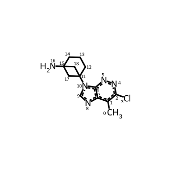 Cc1c(Cl)nnc2c1ncn2C12CCCC(N)(C1)C2